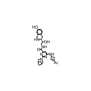 CC(=O)N1CC(Nc2cc(C(=O)NCC(O)[C@@H]3Cc4ccc(O)cc4CN3)nc(N3CC4CC(C4)C3)n2)C1